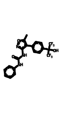 Cc1onc(NC(=O)Nc2ccccc2)c1-c1ccc(C(O)(C(F)(F)F)C(F)(F)F)cc1